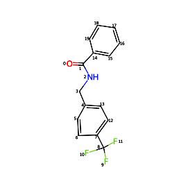 O=C(NCc1ccc(C(F)(F)F)cc1)c1ccccc1